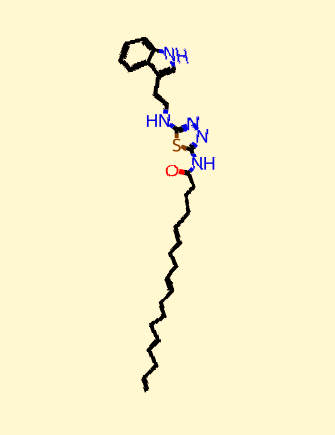 CCCCCCCC/C=C/CCCCCCCC(=O)Nc1nnc(NCCc2c[nH]c3ccccc23)s1